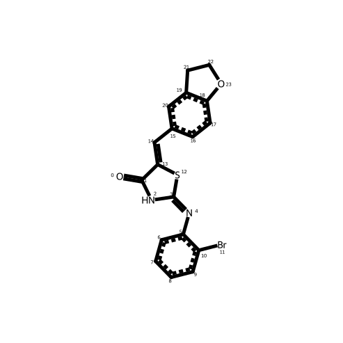 O=C1N/C(=N\c2ccccc2Br)S/C1=C\c1ccc2c(c1)CCO2